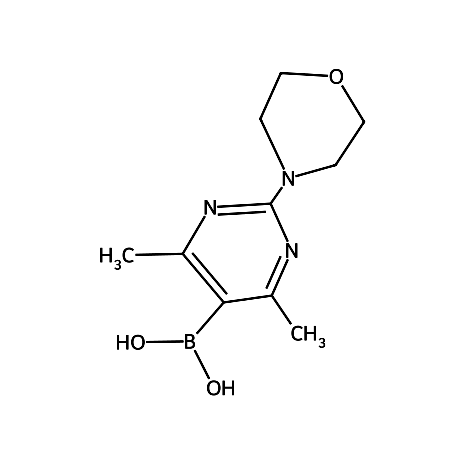 Cc1nc(N2CCOCC2)nc(C)c1B(O)O